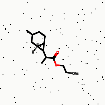 CC(=O)OCCOC(=O)C(C)C1C2CCC(C)C[C@@H]21